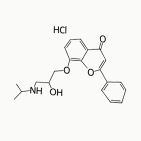 CC(C)NCC(O)COc1cccc2c(=O)cc(-c3ccccc3)oc12.Cl